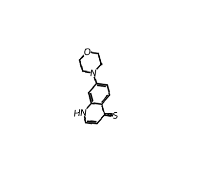 S=c1cc[nH]c2cc(N3CCOCC3)ccc12